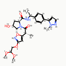 CCOC(COc1cc([C@H](C(=O)N2C[C@H](O)C[C@H]2C(=O)N[C@@H](C)c2ccc(-c3ccnn3C)cc2)C(C)C)on1)OCC